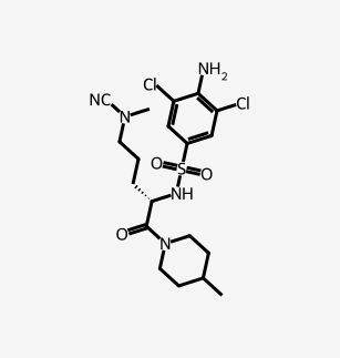 CC1CCN(C(=O)[C@H](CCCN(C)C#N)NS(=O)(=O)c2cc(Cl)c(N)c(Cl)c2)CC1